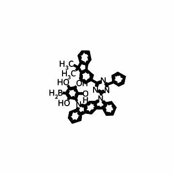 Bc1c(O)c(O)c(O)c(-n2c3ccccc3c3cc4c5ccccc5n(-c5nc(-c6ccccc6)nc(-c6ccc7c(c6)-c6ccccc6C7(C)C)n5)c4cc32)c1O